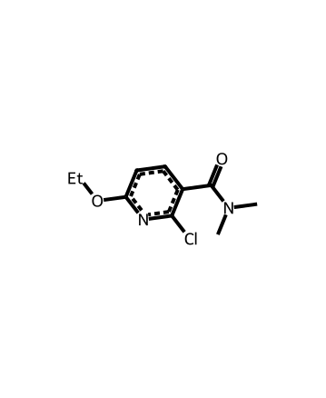 CCOc1ccc(C(=O)N(C)C)c(Cl)n1